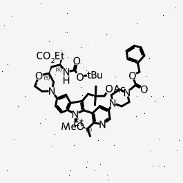 CCOC(=O)[C@H](C[C@H]1CN(c2ccc3c(c2)c(CC(C)(C)COC(C)=O)c(-c2cc(N4CCN(C(=O)OCc5ccccc5)CC4)cnc2[C@H](C)OC)n3CC)CCO1)NC(=O)OC(C)(C)C